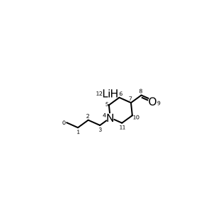 CCCCN1CCC(C=O)CC1.[LiH]